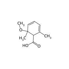 COC1(C)C=CC=C(C)C1C(=O)O